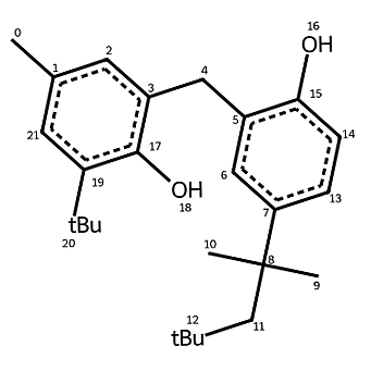 Cc1cc(Cc2cc(C(C)(C)CC(C)(C)C)ccc2O)c(O)c(C(C)(C)C)c1